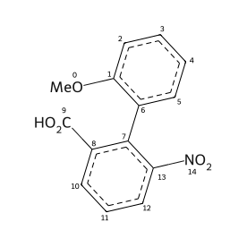 COc1ccccc1-c1c(C(=O)O)cccc1[N+](=O)[O-]